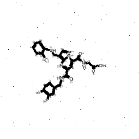 O=C(O)CNC(=O)c1cc(C(=O)NCc2ccc(F)c(F)c2)nc2c(CNc3ccccc3Cl)cnn12